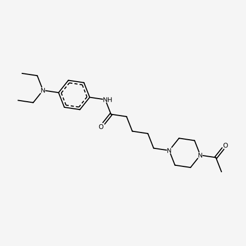 CCN(CC)c1ccc(NC(=O)CCCCN2CCN(C(C)=O)CC2)cc1